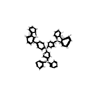 c1ccc(N(c2ccccc2)c2ccc(N(c3ccc(-c4cccc5c4sc4ccccc45)cc3)c3ccc(-n4c5ccccc5c5ccccc54)cc3)nc2)cc1